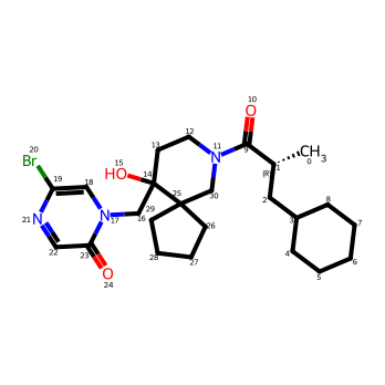 C[C@H](CC1CCCCC1)C(=O)N1CCC(O)(Cn2cc(Br)ncc2=O)C2(CCCC2)C1